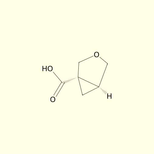 O=C(O)[C@]12COC[C@H]1C2